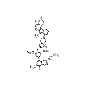 COc1cc(-c2cn(C)c(=O)c3cnc(N4CC(C)C4)cc23)cc(OC)c1CN1CC(F)(F)C2(CCN(c3cccc4c3n(C)c(=O)n4C3CCC(=O)NC3=O)CC2)C1